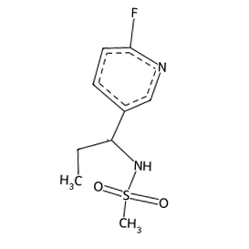 CC[C](NS(C)(=O)=O)c1ccc(F)nc1